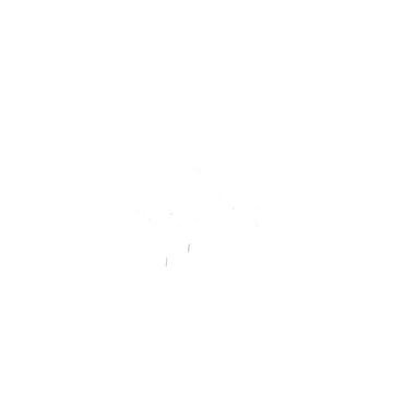 C=C(F)c1cc(C(=O)OC)c(Oc2ccc(F)cc2C)cc1C(F)(F)F